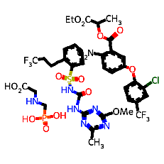 CCOC(=O)C(C)OC(=O)c1cc(Oc2ccc(C(F)(F)F)cc2Cl)ccc1[N+](=O)[O-].COc1nc(C)nc(NC(=O)NS(=O)(=O)c2ccccc2CCC(F)(F)F)n1.O=C(O)CNCP(=O)(O)O